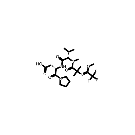 CO/C(=N\C(C)(C)C(=O)N(C)[C@H](C(=O)N[C@@H](CC(=O)O)C(=O)N1CCCC1)C(C)C)C(F)(F)F